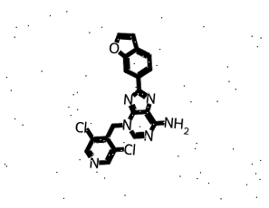 Nc1ncn(Cc2c(Cl)cncc2Cl)c2nc(-c3ccc4ccoc4c3)nc1-2